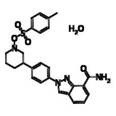 Cc1ccc(S(=O)(=O)ON2CCCC(c3ccc(-n4cc5cccc(C(N)=O)c5n4)cc3)C2)cc1.O